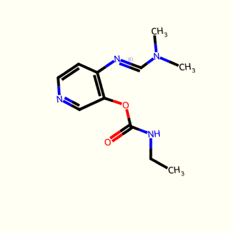 CCNC(=O)Oc1cnccc1/N=C/N(C)C